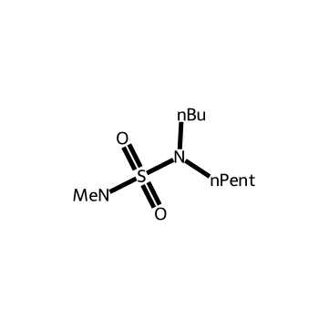 CCCCCN(CCCC)S(=O)(=O)NC